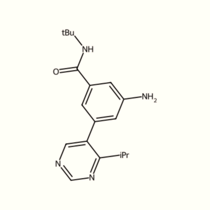 CC(C)c1ncncc1-c1cc(N)cc(C(=O)NC(C)(C)C)c1